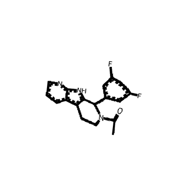 CC(=O)N1CCc2c([nH]c3ncccc23)C1c1cc(F)cc(F)c1